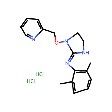 Cc1cccc(C)c1/N=C1\NCCN1OCc1ccccn1.Cl.Cl